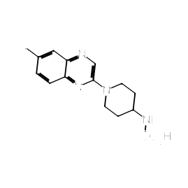 O=C(O)NC1CCN(c2cnc3cc(Cl)ccc3n2)CC1